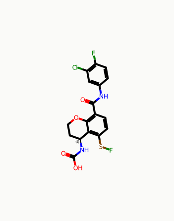 O=C(O)N[C@H]1CCOc2c(C(=O)Nc3ccc(F)c(Cl)c3)ccc(SF)c21